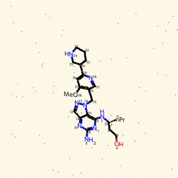 CCC[C@@H](CCO)Nc1nc(N)nc2cnn(Cc3cnc(C4CCCNC4)cc3OC)c12